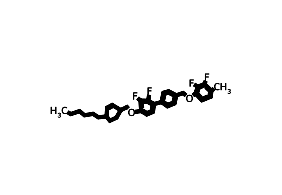 CCCCCCC1C=CC(COc2ccc(-c3ccc(COc4ccc(C)c(F)c4F)cc3)c(F)c2F)CC1